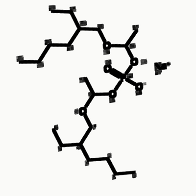 CCCCC(CC)COC(C)OP(=O)([O-])OC(C)OCC(CC)CCCC.[Na+]